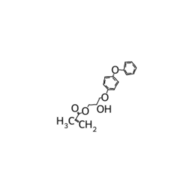 C=C(C)C(=O)OCC(O)COc1ccc(Oc2ccccc2)cc1